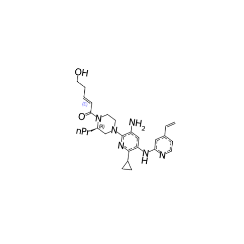 C=Cc1ccnc(Nc2cc(N)c(N3CCN(C(=O)/C=C/CCO)[C@H](CCC)C3)nc2C2CC2)c1